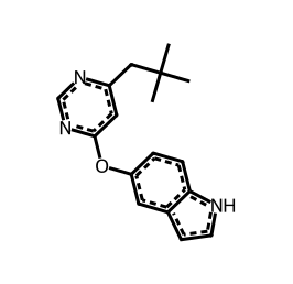 CC(C)(C)Cc1cc(Oc2ccc3[nH]ccc3c2)ncn1